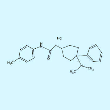 Cc1ccc(NC(=O)CC2CCC(c3ccccc3)(N(C)C)CC2)cc1.Cl